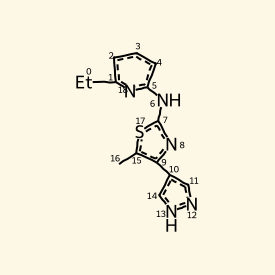 CCc1cccc(Nc2nc(-c3cn[nH]c3)c(C)s2)n1